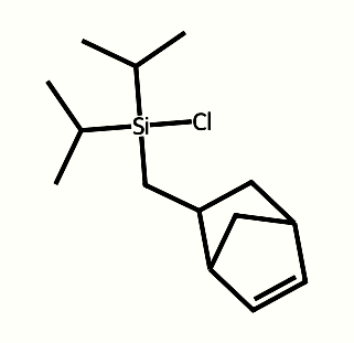 CC(C)[Si](Cl)(CC1CC2C=CC1C2)C(C)C